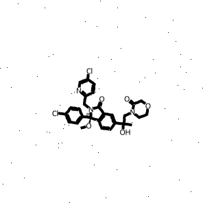 CO[C@]1(c2ccc(Cl)cc2)c2ccc(C(C)(O)CN3CCOCC3=O)cc2C(=O)N1Cc1ccc(Cl)cn1